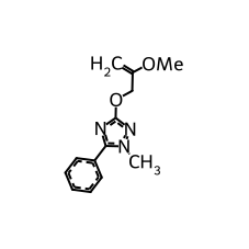 C=C(COc1nc(-c2ccccc2)n(C)n1)OC